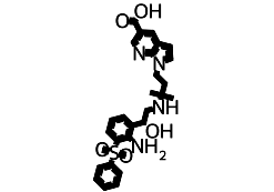 CC(C)(CCn1ccc2cc(C(=O)O)cnc21)NC[C@H](O)c1cccc(S(=O)(=O)c2ccccc2)c1N